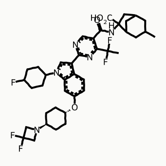 CC1CC2CC(C1)C(NC(=O)c1cnc(-c3cn(C4CCC(F)CC4)c4cc(O[C@H]5CC[C@H](N6CC(F)(F)C6)CC5)ccc34)nc1C(C)(F)F)(C(=O)O)C2